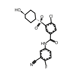 N#Cc1cc(NC(=O)c2ccc(Cl)c(S(=O)(=O)[C@H]3CC[C@H](O)CC3)c2)ccc1F